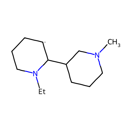 CCN1CCC[CH]C1C1CCCN(C)C1